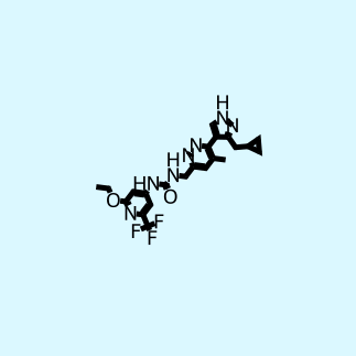 CCOc1cc(NC(=O)NCc2cc(C)c(-c3c[nH]nc3CC3CC3)nn2)cc(C(F)(F)F)n1